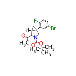 CC(=O)C1[C@@H]2C[C@]2(c2cc(Br)ccc2F)CN1C(=O)OC(C)(C)C